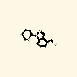 OCc1cccc2c1cnn2C1CCCCO1